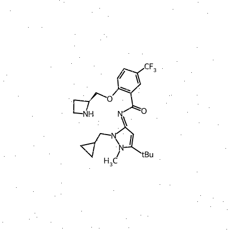 Cn1c(C(C)(C)C)cc(=NC(=O)c2cc(C(F)(F)F)ccc2OC[C@@H]2CCN2)n1CC1CC1